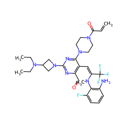 C=CC(=O)N1CCN(c2nc(N3CC(N(CC)CC)C3)nc(C=O)c2/C=C(\N(C)c2c(N)cccc2F)C(F)(F)F)CC1